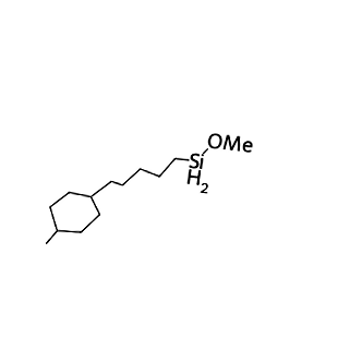 CO[SiH2]CCCCCC1CCC(C)CC1